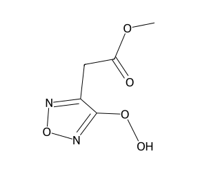 COC(=O)Cc1nonc1OO